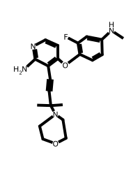 CNc1ccc(Oc2ccnc(N)c2C#CC(C)(C)N2CCOCC2)c(F)c1